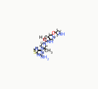 Cc1cc(OC2CCNC2)ncc1NC(=O)N1CCN(c2nc(N)nc3scnc23)[C@@H](C)C1